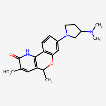 CC1Oc2cc(N3CCC(N(C)C)C3)ccc2-c2[nH]c(=O)c(C(=O)O)cc21